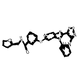 Nc1nonc1-c1nc2cnc(Oc3cccc(C(=O)NCC4CCCO4)c3)cc2n1-c1ccccc1